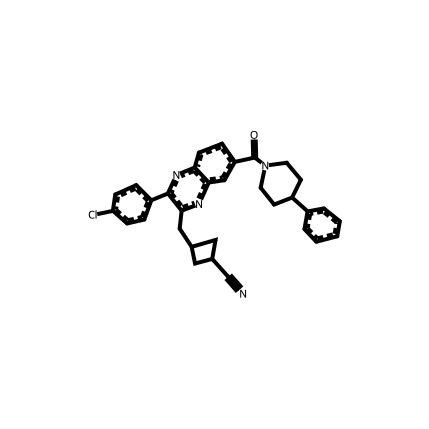 N#CC1CC(Cc2nc3cc(C(=O)N4CCC(c5ccccc5)CC4)ccc3nc2-c2ccc(Cl)cc2)C1